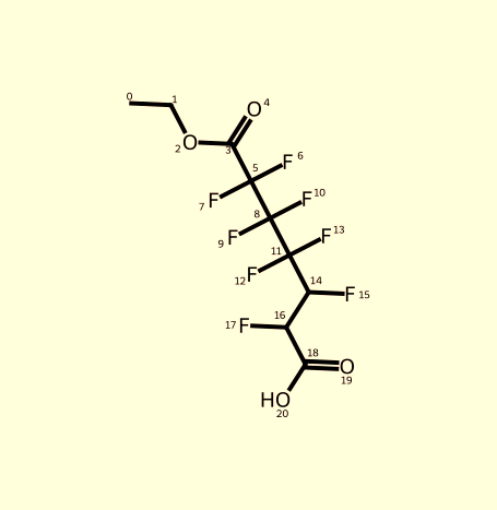 CCOC(=O)C(F)(F)C(F)(F)C(F)(F)C(F)C(F)C(=O)O